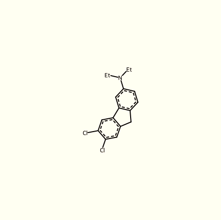 CCN(CC)c1ccc2c(c1)-c1cc(Cl)c(Cl)cc1C2